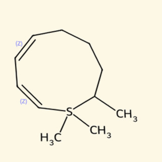 CC1CCC/C=C\C=C/S1(C)C